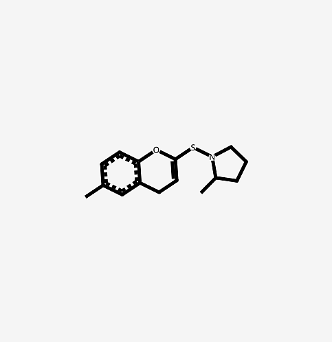 Cc1ccc2c(c1)CC=C(SN1CCCC1C)O2